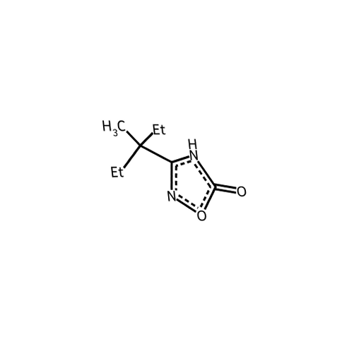 CCC(C)(CC)c1noc(=O)[nH]1